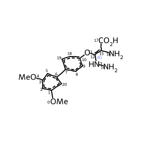 COc1cc(OC)cc(-c2ccc(O/C(NN)=C(/N)C(=O)O)cc2)c1